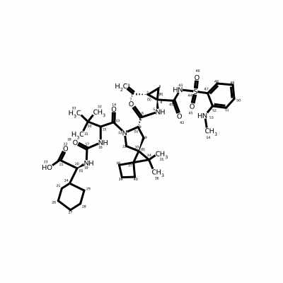 C=C[C@@H]1C[C@]1(NC(=O)[C@@H]1C[C@@]2(CN1C(=O)C(NC(=O)N[C@H](C(=O)O)C1CCCCC1)C(C)(C)C)C(C)(C)C21CCC1)C(=O)NS(=O)(=O)c1ccccc1NC